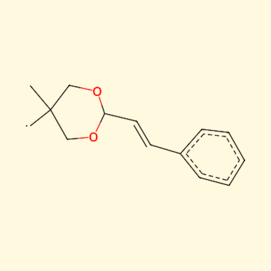 [CH2]C1(C)COC(C=Cc2ccccc2)OC1